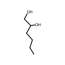 CCCC[C](O)CO